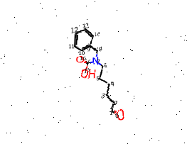 O=CCCCCCN([CH]c1ccccc1)C(=O)O